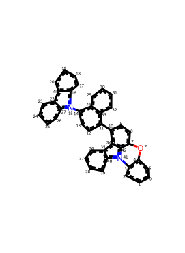 c1ccc2c(c1)Oc1ccc(-c3ccc(-n4c5ccccc5c5ccccc54)c4ccccc34)c3c4ccccc4n-2c13